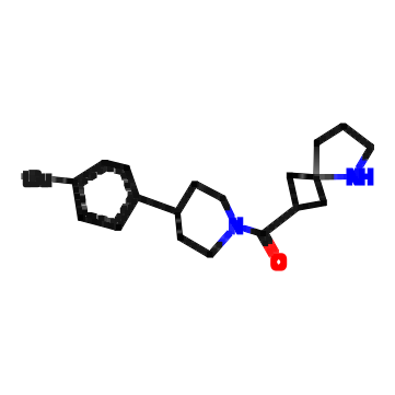 CC(C)(C)c1ccc(C2CCN(C(=O)C3CC4(CCCN4)C3)CC2)cc1